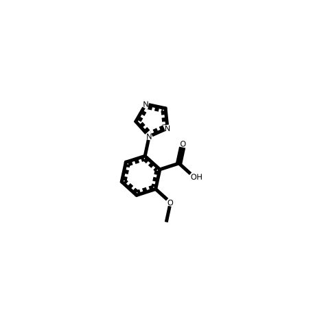 COc1cccc(-n2cncn2)c1C(=O)O